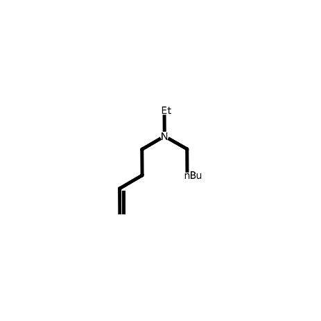 C=CCCN(CC)CCCCC